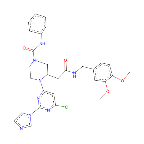 COc1ccc(CNC(=O)CC2CN(C(=O)Nc3ccccc3)CCN2c2cc(Cl)nc(-n3ccnc3)n2)cc1OC